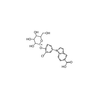 O=C(O)c1ccc2c(ccn2-c2ccc(O[C@H]3OC(CO)C(O)C(O)C3O)c(Cl)c2)c1